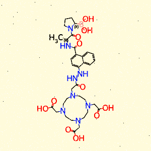 C[C@@H](NC(=O)c1ccc(NNC(=O)CN2CCN(CC(=O)O)CCN(CC(=O)O)CCN(CC(=O)O)CC2)c2ccccc12)C(=O)N1CCC[C@H]1B(O)O